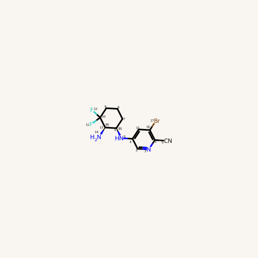 N#Cc1ncc(N[C@@H]2CCCC(F)(F)[C@@H]2N)cc1Br